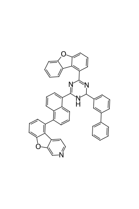 c1ccc(-c2cccc(C3N=C(c4cccc5oc6ccccc6c45)N=C(c4cccc5c(-c6cccc7oc8cnccc8c67)cccc45)N3)c2)cc1